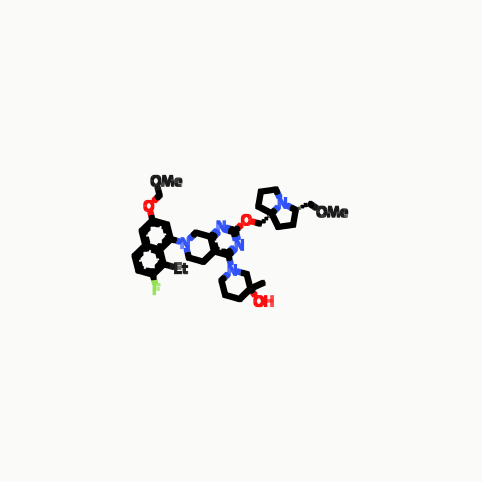 CCc1c(F)ccc2cc(OCOC)cc(N3CCc4c(nc(OC[C@]56CCCN5[C@H](COC)CC6)nc4N4CCCC(C)(O)C4)C3)c12